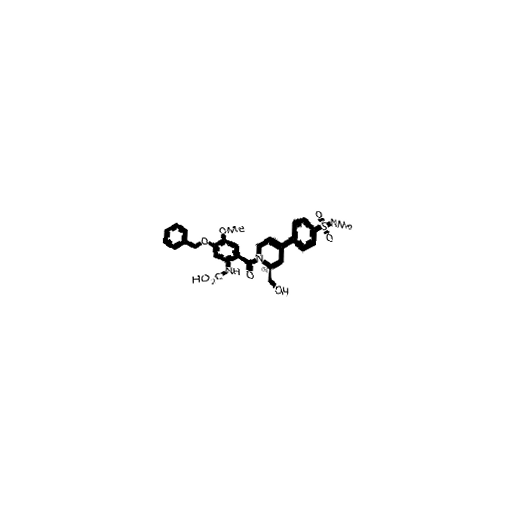 CNS(=O)(=O)c1ccc(C2=CCN(C(=O)c3cc(OC)c(OCc4ccccc4)cc3NC(=O)O)[C@H](CO)C2)cc1